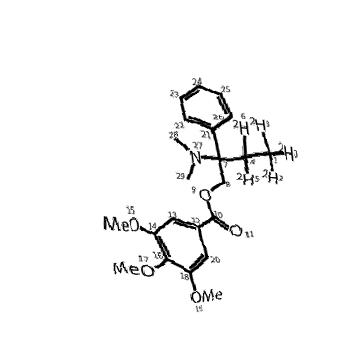 [2H]C([2H])([2H])C([2H])([2H])C(COC(=O)c1cc(OC)c(OC)c(OC)c1)(c1ccccc1)N(C)C